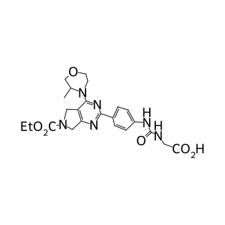 CCOC(=O)N1Cc2nc(-c3ccc(NC(=O)NCC(=O)O)cc3)nc(N3CCOCC3C)c2C1